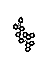 c1ccc(-n2c3ccccc3c3c(-c4cccc(-c5cccc(N(c6cc7ccccc7c7ccccc67)c6cc7ccccc7c7ccccc67)c5)c4)cccc32)cc1